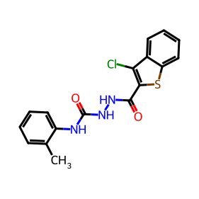 Cc1ccccc1NC(=O)NNC(=O)c1sc2ccccc2c1Cl